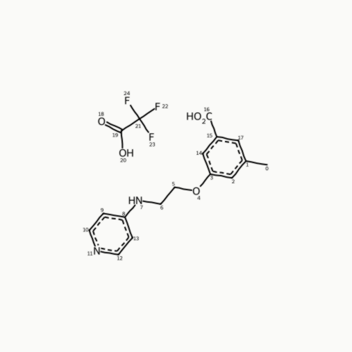 Cc1cc(OCCNc2ccncc2)cc(C(=O)O)c1.O=C(O)C(F)(F)F